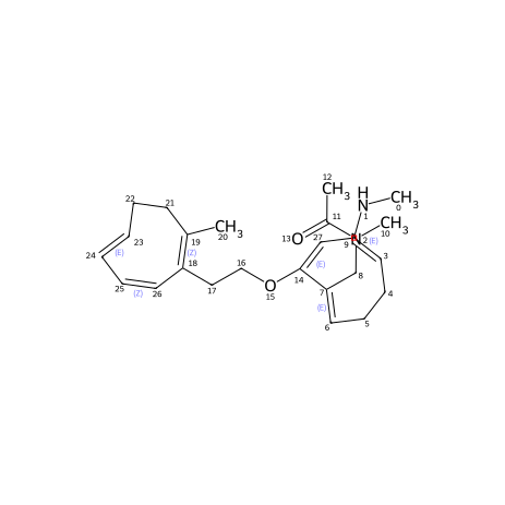 CNC1=C/CC/C=C(CN(C)C(C)=O)/C(OCCC2=C(\C)CC/C=C/C=C\2)=C\1